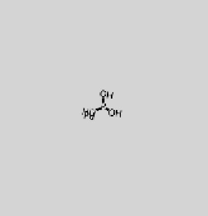 OP(O)O.[Pd]